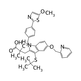 COc1cnc(-c2ccc(Cn3c(CC(C)(C)C(=O)O)c(SC(C)(C)C)c4cc(OCc5ccccn5)ccc43)cc2)s1